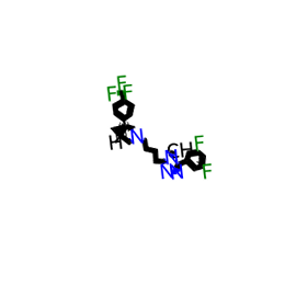 Cn1c(CCCCN2C[C@@H]3C[C@]3(c3ccc(C(F)(F)F)cc3)C2)nnc1-c1cc(F)cc(F)c1